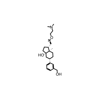 CN(C)CCO/N=C/[C@H]1CC[C@]2(O)C[C@@H](c3cccc(CO)c3)CC[C@]12C